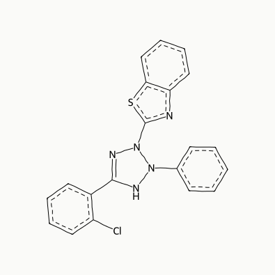 Clc1ccccc1C1=NN(c2nc3ccccc3s2)N(c2ccccc2)N1